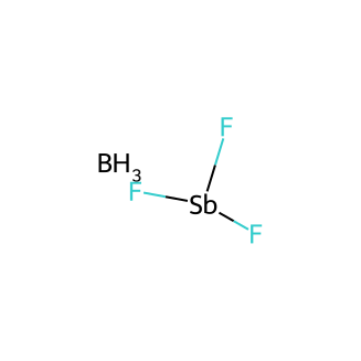 B.[F][Sb]([F])[F]